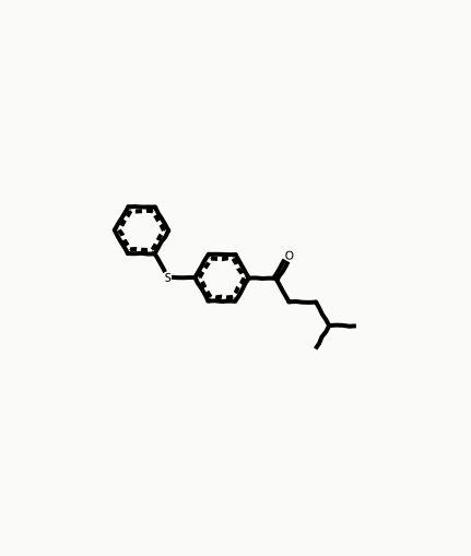 CC(C)CCC(=O)c1ccc(Sc2ccccc2)cc1